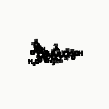 COc1cc(C(=O)N2CC3CCC2C3N)cc2nc(-c3cc4ccc(-c5ccc(CC(=O)O)cc5)nc4n3CC3CC3)n(C)c12